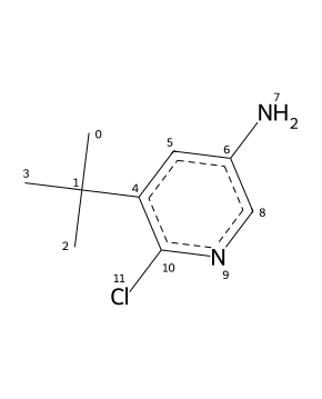 CC(C)(C)c1cc(N)cnc1Cl